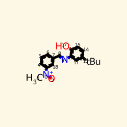 C[N+](=O)c1cccc(/C=N/c2cc(C(C)(C)C)ccc2O)c1